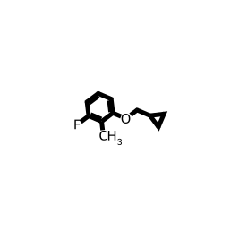 Cc1c(F)cccc1OCC1CC1